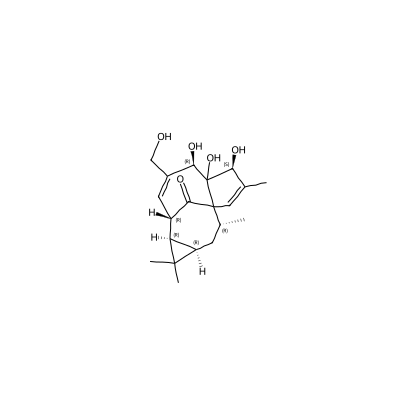 CC1=CC23C(=O)[C@@H](C=C(CO)[C@@H](O)C2(O)[C@H]1O)[C@H]1[C@@H](C[C@H]3C)C1(C)C